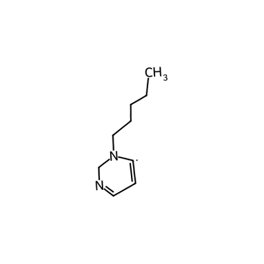 CCCCCN1[C]=CC=NC1